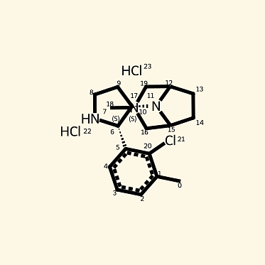 Cc1cccc([C@@H]2NCC[C@@H]2N2C3CCC2CN(C)C3)c1Cl.Cl.Cl